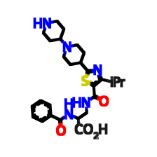 CC(C)c1nc(C2CCN(C3CCNCC3)CC2)sc1C(=O)NC[C@H](NC(=O)c1ccccc1)C(=O)O